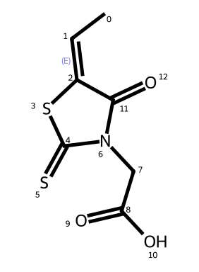 C/C=C1/SC(=S)N(CC(=O)O)C1=O